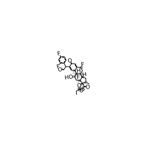 CCC(=O)O[C@]1(C(=O)S)[C@H](C)C[C@H]2[C@@H]3C[C@H](F)C4=CC(=O)C(C(C=O)c5ccc(F)cc5F)=C[C@]4(C)[C@@]3(F)[C@@H](O)C[C@@]21C